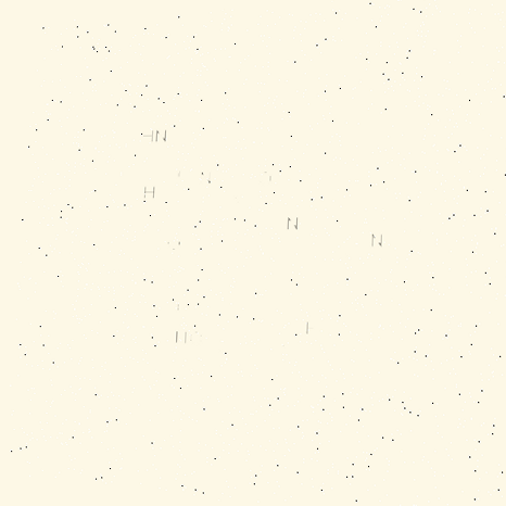 CN1CC2CCN(c3cc(-c4c(O)cccc4F)c(Cl)c4c3C(=O)N3CCNC[C@@H]3CO4)C2C1